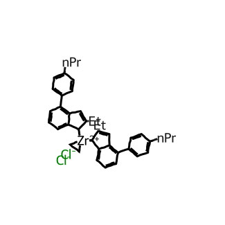 CCCc1ccc(-c2cccc3c2C=C(CC)[CH]3[Zr+2]2([CH]3C(CC)=Cc4c(-c5ccc(CCC)cc5)cccc43)[CH2][CH2]2)cc1.[Cl-].[Cl-]